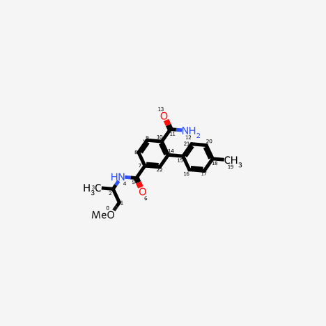 COCC(C)NC(=O)c1c[c]c(C(N)=O)c(-c2ccc(C)cc2)c1